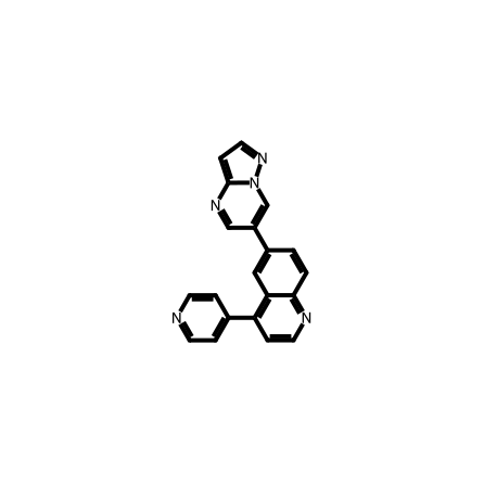 c1cc(-c2ccnc3ccc(-c4cnc5ccnn5c4)cc23)ccn1